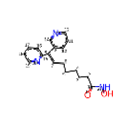 O=C(CCCCC/C=C(\c1cccnc1)c1ccccn1)NO